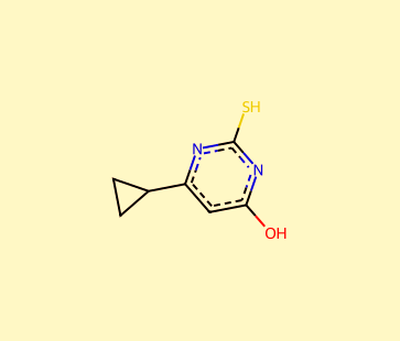 Oc1cc(C2CC2)nc(S)n1